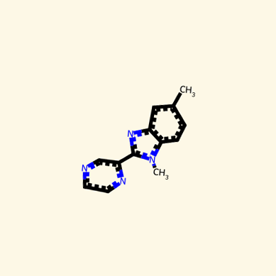 Cc1ccc2c(c1)nc(-c1cnccn1)n2C